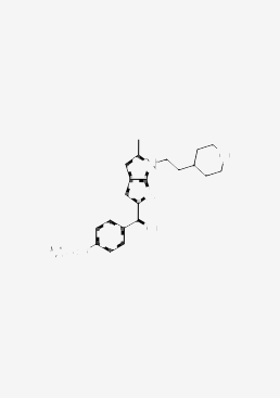 COc1ccc(C(=O)c2cc3cc(C)n(CCC4CCOCC4)c3s2)cc1